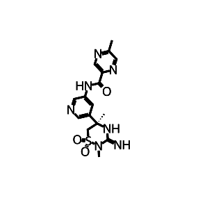 Cc1cnc(C(=O)Nc2cncc([C@]3(C)CS(=O)(=O)N(C)C(=N)N3)c2)cn1